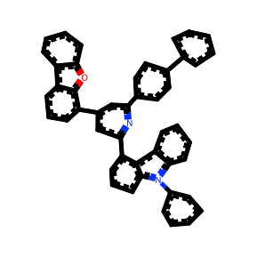 c1ccc(-c2ccc(-c3cc(-c4cccc5c4oc4ccccc45)cc(-c4cccc5c4c4ccccc4n5-c4ccccc4)n3)cc2)cc1